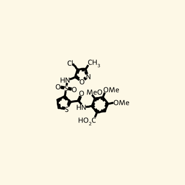 COc1cc(C(=O)O)c(NC(=O)c2sccc2S(=O)(=O)Nc2onc(C)c2Cl)c(OC)c1OC